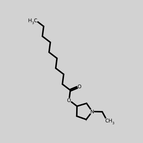 CCCCCCCCCC(=O)OC1C[CH]N(CC)C1